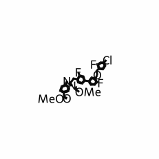 COCCn1c(Cc2ccc(-c3ccc(F)c(OCc4ccc(Cl)cc4F)c3)cc2F)nc2ccc(C(=O)OC)cc21